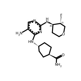 Nc1cnc(N[C@@H]2CCOC[C@H]2F)nc1N[C@H]1CC[C@H](C(N)=O)CC1